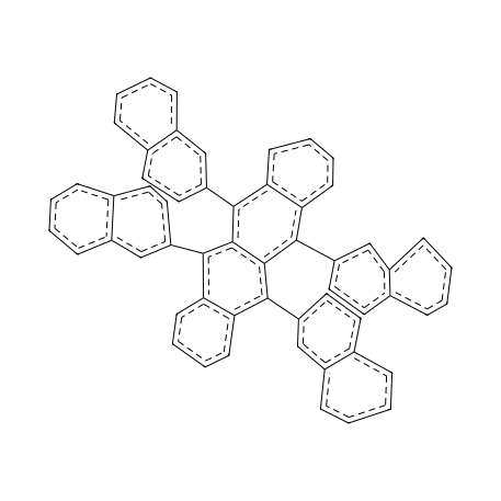 c1ccc2cc(-c3c4ccccc4c(-c4ccc5ccccc5c4)c4c(-c5ccc6ccccc6c5)c5ccccc5c(-c5ccc6ccccc6c5)c34)ccc2c1